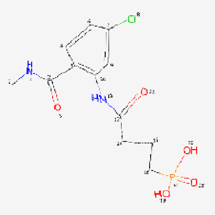 CNC(=O)c1ccc(Cl)cc1NC(=O)CCCP(=O)(O)O